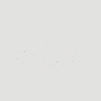 CN(Cc1ccccc1)C(=O)CN(CC(=O)N(C)c1ccc(Oc2ccccc2)cc1)C(=O)c1cc2c(F)cccc2[nH]1